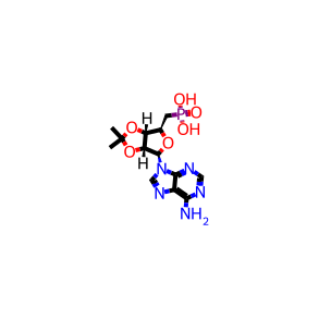 CC1(C)O[C@@H]2[C@H](O1)[C@@H](CP(=O)(O)O)O[C@H]2n1cnc2c(N)ncnc21